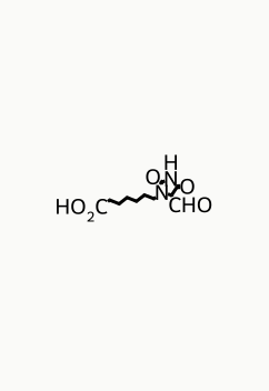 O=CC1C(=O)NC(=O)N1CCCCCCC(=O)O